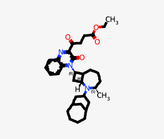 CCOC(=O)CCC(=O)c1nc2ccccc2n([C@@H]2C[C@@H]3C2CCC[C@H](C)N3C2CC3CCCCC(C3)C2)c1=O